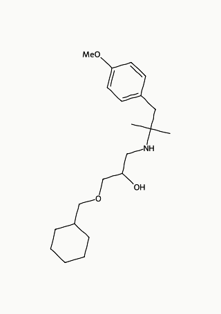 COc1ccc(CC(C)(C)NCC(O)COCC2CCCCC2)cc1